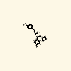 S=C(OCc1ccc(Br)cc1)SC(Cn1ccnc1)c1ccc(Cl)cc1